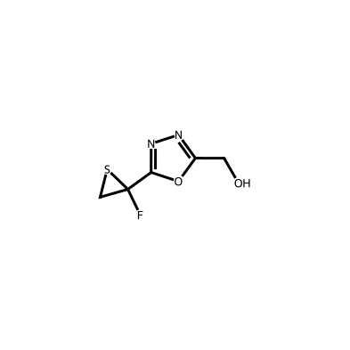 OCc1nnc(C2(F)CS2)o1